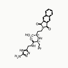 CC(C)C[C@H](N[C@H](CCN1C(=O)c2cc3ccccc3cc2C1=O)C(=O)O)C(=O)NCc1nnc(N)[nH]1